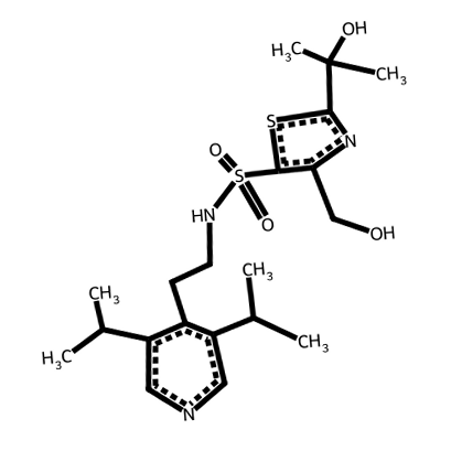 CC(C)c1cncc(C(C)C)c1CCNS(=O)(=O)c1sc(C(C)(C)O)nc1CO